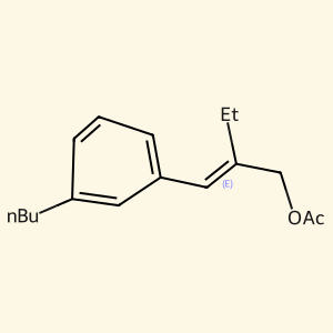 CCCCc1cccc(/C=C(\CC)COC(C)=O)c1